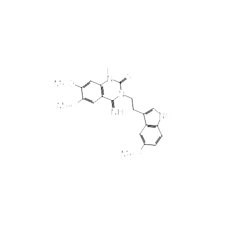 COc1ccc2[nH]cc(CCn3c(=S)[nH]c4cc(OC)c(OC)cc4c3=N)c2c1